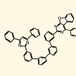 c1ccc(-c2cc(-c3ccccc3)nc(-c3cccc(-c4cccc(-c5cccc(-c6cccc(-c7nc(-c8ccccc8)c8c(n7)oc7ccccc78)c6)c5)c4)c3)n2)cc1